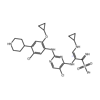 CC(C)S(=O)(=O)C(=N)/C(=C\NC1CC1)Nc1nc(Nc2cc(Cl)c(C3CCNCC3)cc2OC2CC2)ncc1Cl